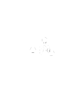 Cc1cc(C)c(C(=O)O[PH](O)(Oc2ccccc2)c2ccccc2)c(C)c1